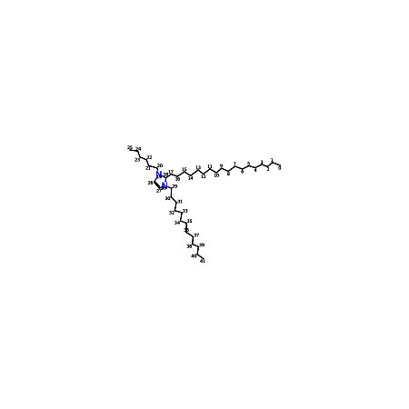 CCCCCCCCCCCCCCCCCCC1N(CCCCCC)C=CN1CCCCCCCCCCCCC